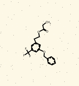 CCC(=O)OCCc1cc(OCc2ccccc2)cc(C(F)(F)F)c1